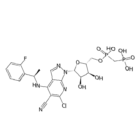 C[C@@H](Nc1c(C#N)c(Cl)nc2c1cnn2[C@@H]1O[C@H](COP(=O)(O)CP(=O)(O)O)[C@@H](O)[C@H]1O)c1ccccc1F